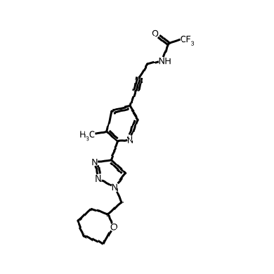 Cc1cc(C#CCNC(=O)C(F)(F)F)cnc1-c1cn(CC2CCCCO2)nn1